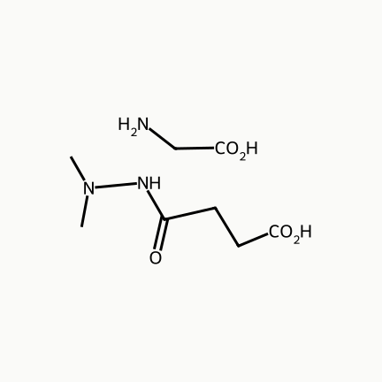 CN(C)NC(=O)CCC(=O)O.NCC(=O)O